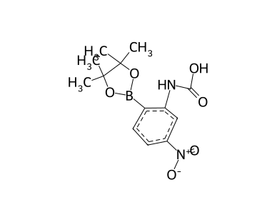 CC1(C)OB(c2ccc([N+](=O)[O-])cc2NC(=O)O)OC1(C)C